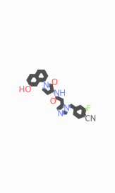 N#Cc1ccc(Cn2cncc2CC(=O)N[C@@H]2CCN(c3cccc4ccc(O)cc34)C2=O)cc1F